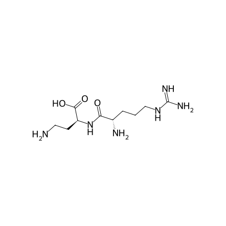 N=C(N)NCCC[C@H](N)C(=O)N[C@@H](CCN)C(=O)O